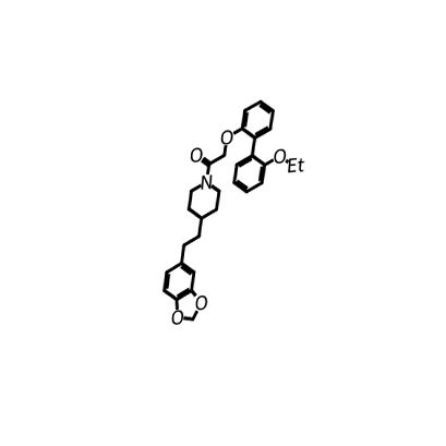 CCOc1ccccc1-c1ccccc1OCC(=O)N1CCC(CCc2ccc3c(c2)OCO3)CC1